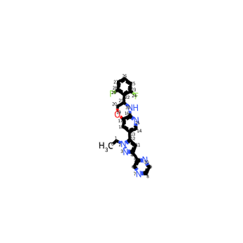 CCn1nc(-c2cnccn2)cc1-c1cnc2c(c1)OCC(c1c(F)cccc1F)N2